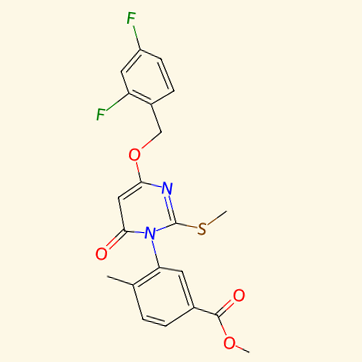 COC(=O)c1ccc(C)c(-n2c(SC)nc(OCc3ccc(F)cc3F)cc2=O)c1